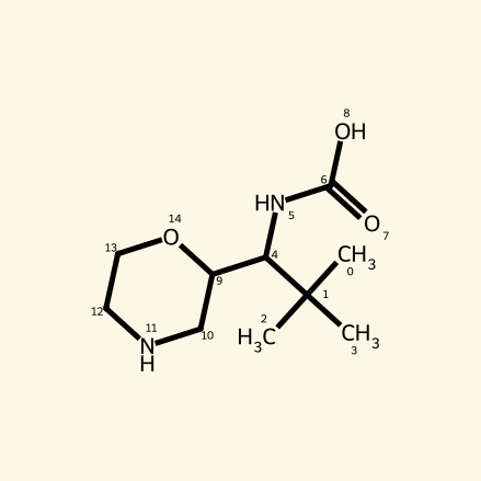 CC(C)(C)C(NC(=O)O)C1CNCCO1